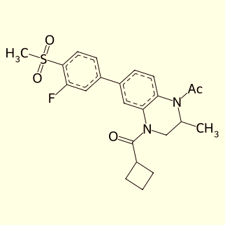 CC(=O)N1c2ccc(-c3ccc(S(C)(=O)=O)c(F)c3)cc2N(C(=O)C2CCC2)CC1C